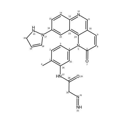 Cc1ccc(-n2c(=O)ccc3cnc4ccc(N5C=CCN5)cc4c32)cc1NC(=O)CN=N